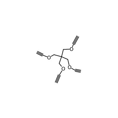 C#COCC(COC#C)(COC#C)COC#C